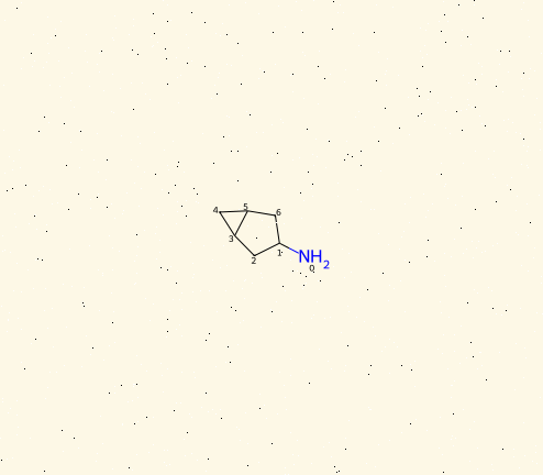 NC1CC2CC2C1